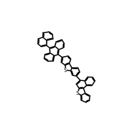 c1ccc2c(-c3c4ccccc4c(-c4ccc5c(c4)sc4cc(-c6cc7sc8ccccc8c7c7ccccc67)ccc45)c4ccccc34)cccc2c1